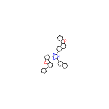 c1ccc(-c2cccc3c2oc2cccc(-c4nc(-c5ccc6ccccc6c5)nc(-c5ccc6c(ccc7oc8ccccc8c76)c5)n4)c23)cc1